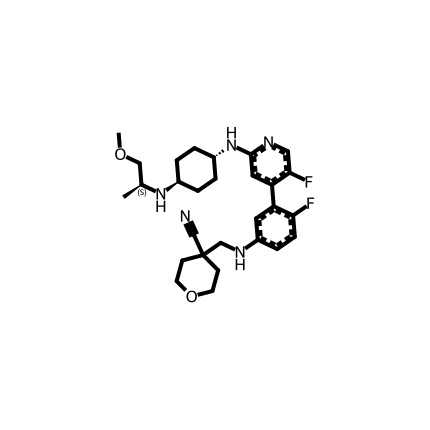 COC[C@H](C)N[C@H]1CC[C@H](Nc2cc(-c3cc(NCC4(C#N)CCOCC4)ccc3F)c(F)cn2)CC1